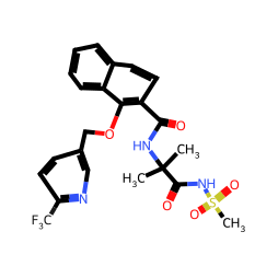 CC(C)(NC(=O)c1ccc2ccccc2c1OCc1ccc(C(F)(F)F)nc1)C(=O)NS(C)(=O)=O